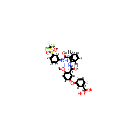 COc1ccc(Oc2cccc(C(=O)O)c2)cc1C(=O)N[C@H]1[C@@H](C(=O)Nc2cccc(S(=O)(=O)C(F)(F)F)c2)[C@@H]2C=C[C@H]1C2